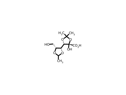 CC1O[C@@H]([C@@H]2OC(C)(C)O[C@@]2(O)C(=O)O)[C@@H](CO)O1